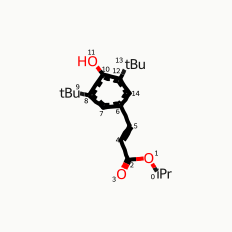 CC(C)OC(=O)C=Cc1cc(C(C)(C)C)c(O)c(C(C)(C)C)c1